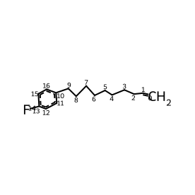 C=CCCCCCCCCc1ccc(F)cc1